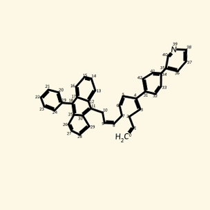 C=CC/C=C(\C=C/C/C=C\Cc1c2ccccc2c(-c2ccccc2)c2ccccc12)c1ccc(-c2cccnc2)cc1